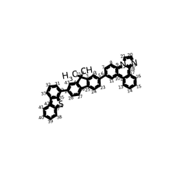 CC1(C)c2cc(-c3ccc4c(c3)c3ccccc3c3nccn43)ccc2-c2ccc(-c3cccc4c3sc3ccccc34)cc21